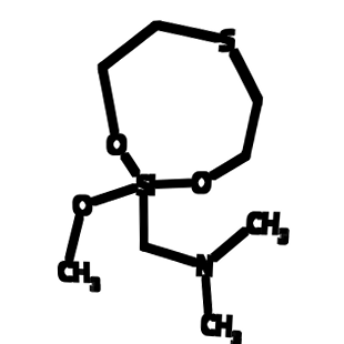 CO[Si]1(CN(C)C)OCCSCCO1